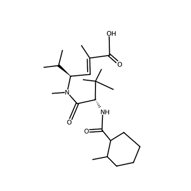 C/C(=C\[C@H](C(C)C)N(C)C(=O)[C@@H](NC(=O)C1CCCCC1C)C(C)(C)C)C(=O)O